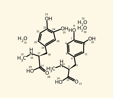 CN[C@@H](Cc1ccc(O)c(O)c1)C(=O)O.CN[C@@H](Cc1ccc(O)c(O)c1)C(=O)O.O.O.O